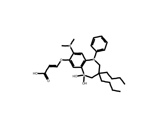 CCCCC1(CCCC)CN(c2ccccc2)c2cc(N(C)C)c(OC=CC(=O)O)cc2S(O)(O)C1